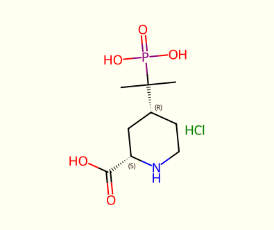 CC(C)([C@@H]1CCN[C@H](C(=O)O)C1)P(=O)(O)O.Cl